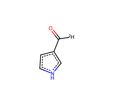 [2H]C(=O)c1cc[nH]c1